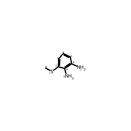 CSc1cccc(N)c1N